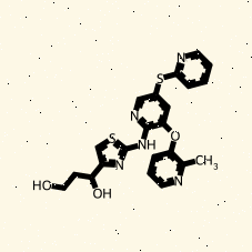 Cc1ncccc1Oc1cc(Sc2ccccn2)cnc1Nc1nc(C(O)CCO)cs1